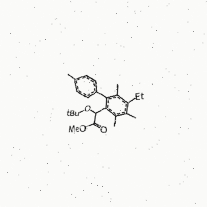 CCc1c(C)c(C)c(C(OC(C)(C)C)C(=O)OC)c(-c2ccc(C)cc2)c1C